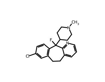 CN1CCC(C2(F)c3ccc(Cl)cc3CCc3cccnc32)CC1